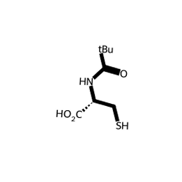 CC(C)(C)C(=O)N[C@H](CS)C(=O)O